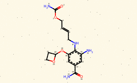 NC(=O)OCC=CCNc1c(N)cc(C(N)=O)cc1OC1CCO1